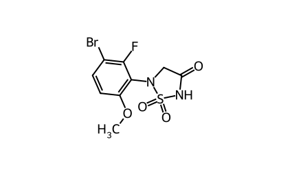 COc1ccc(Br)c(F)c1N1CC(=O)NS1(=O)=O